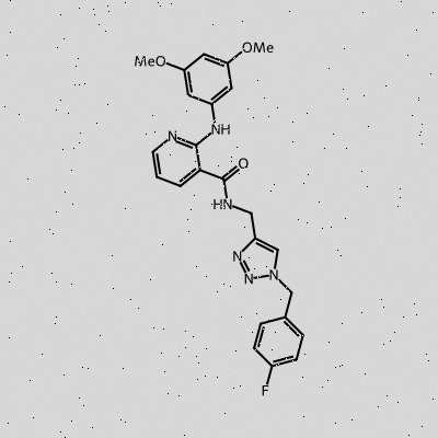 COc1cc(Nc2ncccc2C(=O)NCc2cn(Cc3ccc(F)cc3)nn2)cc(OC)c1